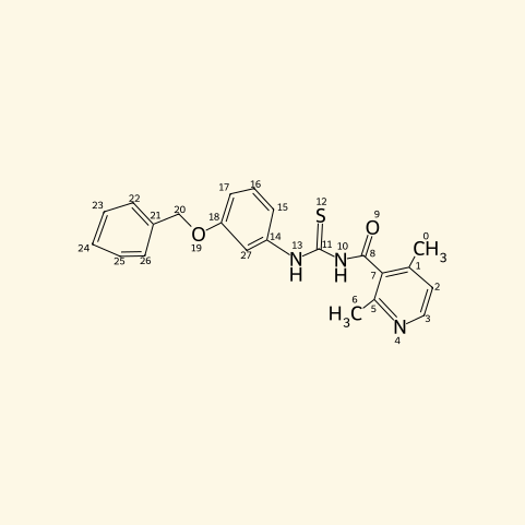 Cc1ccnc(C)c1C(=O)NC(=S)Nc1cccc(OCc2ccccc2)c1